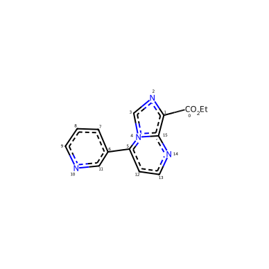 CCOC(=O)c1ncn2c(-c3cccnc3)ccnc12